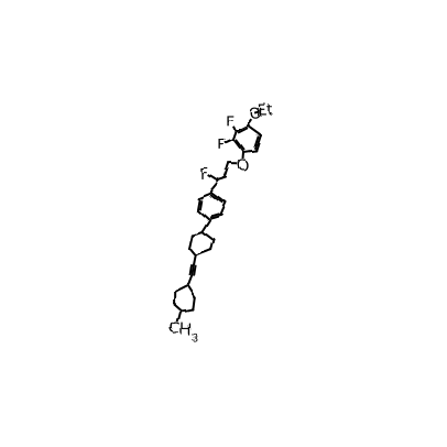 CCOc1ccc(OCCC(F)c2ccc(C3CCC(C#CC4CCC(C)CC4)CC3)cc2)c(F)c1F